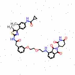 Cc1cc(NC(=O)C2CC2)ccc1-c1nc(NC(=O)Cc2cccc(OCCOCCNc3cccc4c3C(=O)N(C3CCC(=O)NC3=O)C4=O)c2)sc1C